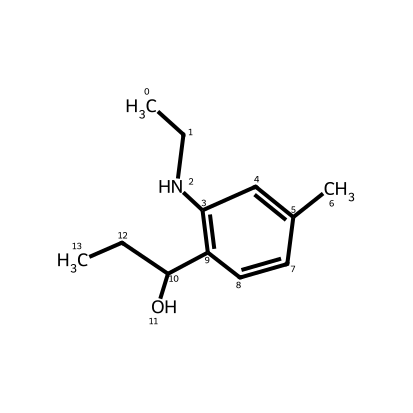 CCNc1cc(C)ccc1C(O)CC